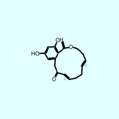 C=C1OCC/C=C/CC/C=C/C(=O)Cc2cc(O)cc(O)c21